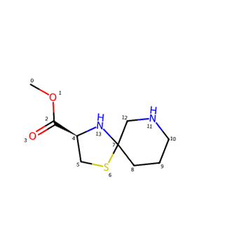 COC(=O)[C@@H]1CSC2(CCCNC2)N1